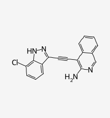 Nc1ncc2ccccc2c1C#Cc1n[nH]c2c(Cl)cccc12